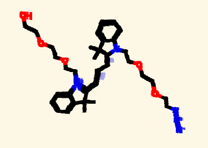 CC1(C)C(/C=C/C=C2/N(CCOCCOCCN=[N+]=[N-])c3ccccc3C2(C)C)=[N+](CCOCCOCCO)c2ccccc21